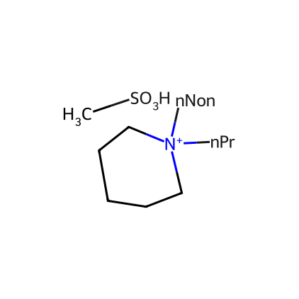 CCCCCCCCC[N+]1(CCC)CCCCC1.CS(=O)(=O)O